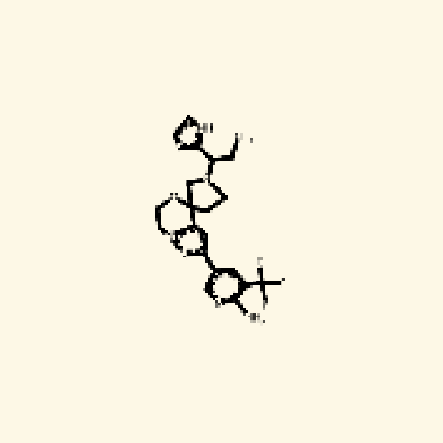 CCC(c1ncc[nH]1)N1CCC2(C1)OCCn1nc(-c3cnc(N)c(C(F)(F)F)c3)cc12